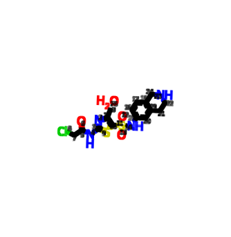 Cc1nc(NC(=O)CCl)sc1S(=O)(=O)Nc1ccc2c(c1)CCNC2.O